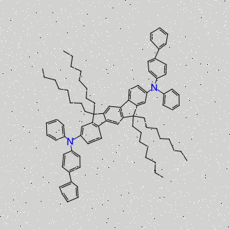 CCCCCCCCC1(CCCCCCCC)c2cc(N(c3ccccc3)c3ccc(-c4ccccc4)cc3)ccc2-c2cc3c(cc21)-c1ccc(N(c2ccccc2)c2ccc(-c4ccccc4)cc2)cc1C3(CCCCCCCC)CCCCCCCC